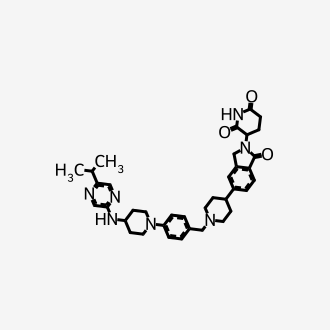 CC(C)c1cnc(NC2CCN(c3ccc(CN4CCC(c5ccc6c(c5)CN(C5CCC(=O)NC5=O)C6=O)CC4)cc3)CC2)cn1